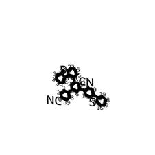 N#Cc1ccc(-c2cc(-c3ccc4c(c3)sc3ccccc34)c(C#N)c(-c3cccc4sc5ccccc5c34)c2)cc1